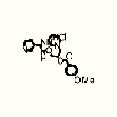 COc1ccc(C(=O)OC(CONC(=N)c2cccnc2)CN2CCCCC2)cc1.Cl